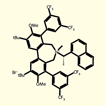 COc1c(C(C)(C)C)cc2c(c1-c1cc(C(F)(F)F)cc(C(F)(F)F)c1)C[N+](C)([C@@H](C)c1cccc3ccccc13)Cc1c-2cc(C(C)(C)C)c(OC)c1-c1cc(C(F)(F)F)cc(C(F)(F)F)c1.[Br-]